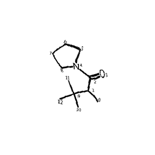 CC(C(=O)N1CCCC1)C(C)(C)C